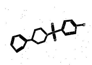 O=S(=O)(c1ccc(Cl)cc1)N1CCC(c2ccccc2)CC1